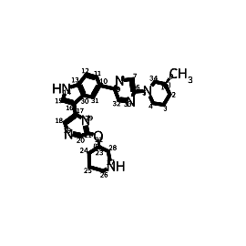 C[C@H]1CCCN(c2cnc(-c3ccc4[nH]cc(-c5cncc(O[C@@H]6CCCNC6)n5)c4c3)cn2)C1